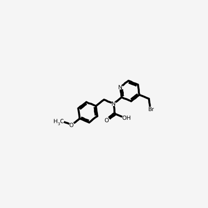 COc1ccc(CN(C(=O)O)c2cc(CBr)ccn2)cc1